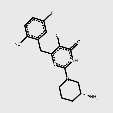 N#Cc1ccc(F)cc1Cc1nc(N2CCC[C@@H](N)C2)[nH]c(=O)c1Cl